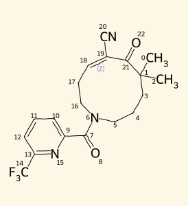 CC1(C)CCCN(C(=O)c2cccc(C(F)(F)F)n2)CC/C=C(/C#N)C1=O